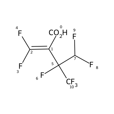 O=C(O)C(=C(F)F)C(F)(C(F)F)C(F)(F)F